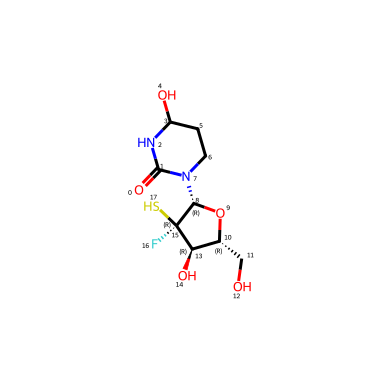 O=C1NC(O)CCN1[C@@H]1O[C@H](CO)[C@@H](O)[C@@]1(F)S